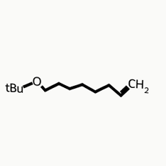 C=CCCCCCCOC(C)(C)C